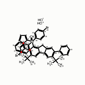 Cl.Cl.[CH2]=[Zr]([C]1=CC=CC1)([c]1ccc(Br)cc1)([c]1ccc(Br)cc1)[c]1c2c(cc(C(C)(C)C)c1-c1ccccc1)-c1cc(C(C)(C)C)c(-c3ccccc3)cc1C2